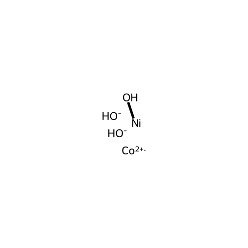 [Co+2].[OH-].[OH-].[OH][Ni]